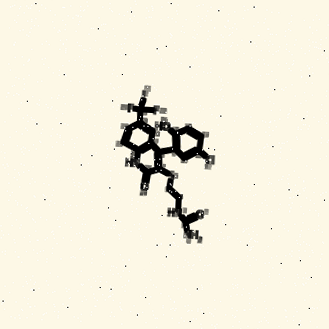 NC(=O)NCCSc1c(-c2cc(Cl)ccc2O)c2cc(C(F)(F)F)ccc2[nH]c1=O